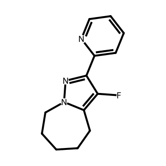 Fc1c(-c2ccccn2)nn2c1CCCCC2